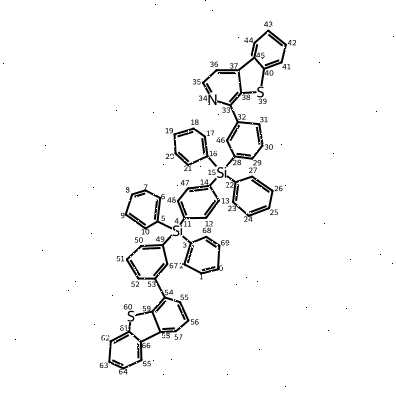 c1ccc([Si](c2ccccc2)(c2ccc([Si](c3ccccc3)(c3ccccc3)c3cccc(-c4nccc5c4sc4ccccc45)c3)cc2)c2cccc(-c3cccc4c3sc3ccccc34)c2)cc1